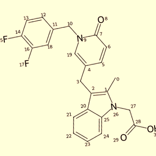 Cc1c(Cc2ccc(=O)n(Cc3ccc(F)c(F)c3)c2)c2ccccc2n1CC(=O)O